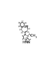 CCC1c2cn[nH]c2C=CC1/C1=C/C=N\c2ccccc2CC1